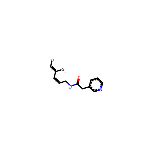 CC/C=C(C)/C=C\CNC(=O)Cc1cccnc1